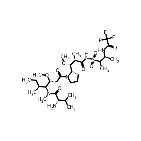 CC[C@H](C)[C@@H]([C@@H](CC(=O)N1CCC[C@H]1[C@H](OC)[C@@H](C)C(=O)NS(=O)(=O)C(C)[C@H](C)NC(=O)C(F)(F)F)OC)N(C)C(=O)[C@@H](N)C(C)C